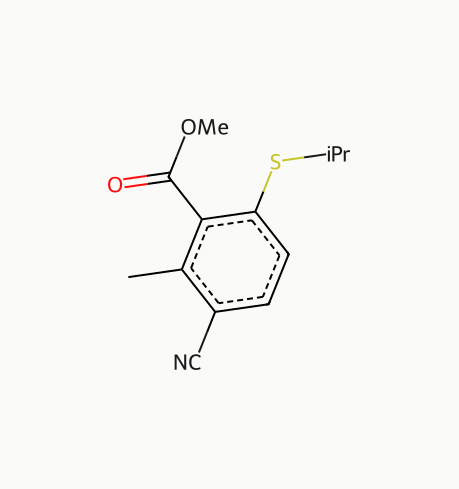 COC(=O)c1c(SC(C)C)ccc(C#N)c1C